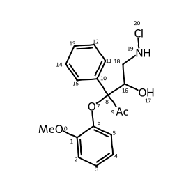 COc1ccccc1OC(C(C)=O)(c1ccccc1)C(O)CNCl